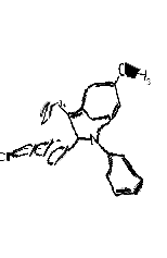 CC1=CC2=[C]([Zr+3])C(Cl)N(c3ccccc3)C2=C1.[Cl-].[Cl-].[Cl-]